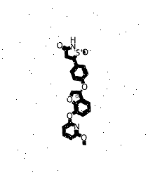 COc1cccc(Oc2cccc3c2OC[C@H]3Oc2ccc(C3CC(=O)N[S+]3[O-])cc2)n1